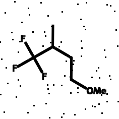 COCCC(C)C(F)(F)F